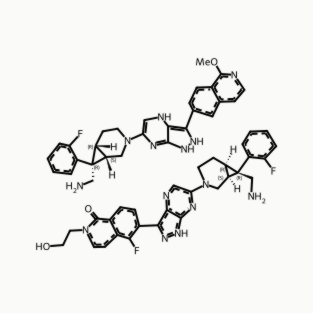 COc1nccc2cc(C3=C4NC=C(N5CC[C@@H]6[C@H](C5)[C@@]6(CN)c5ccccc5F)N=C4NN3)ccc12.NC[C@]1(c2ccccc2F)[C@@H]2CCN(c3cnc4c(-c5ccc6c(=O)n(CCO)ccc6c5F)n[nH]c4n3)C[C@@H]21